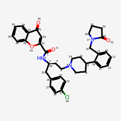 O=C(N[C@@H](CCN1CCC(c2ccccc2CN2CCCC2=O)CC1)Cc1ccc(Cl)cc1)c1cc(=O)c2ccccc2o1